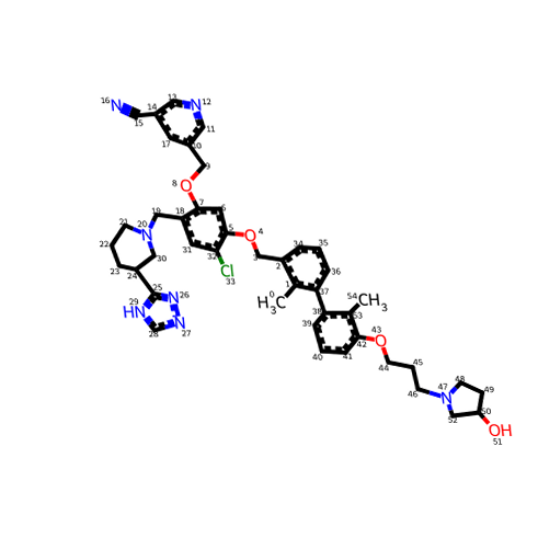 Cc1c(COc2cc(OCc3cncc(C#N)c3)c(CN3CCCC(c4nnc[nH]4)C3)cc2Cl)cccc1-c1cccc(OCCCN2CCC(O)C2)c1C